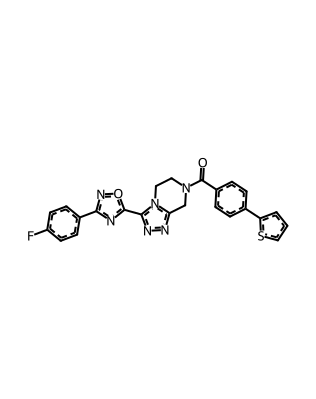 O=C(c1ccc(-c2cccs2)cc1)N1CCn2c(nnc2-c2nc(-c3ccc(F)cc3)no2)C1